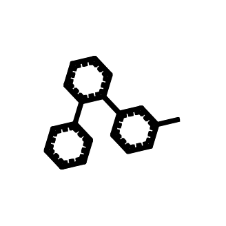 Cc1cccc(-c2ccccc2-c2ccccc2)c1